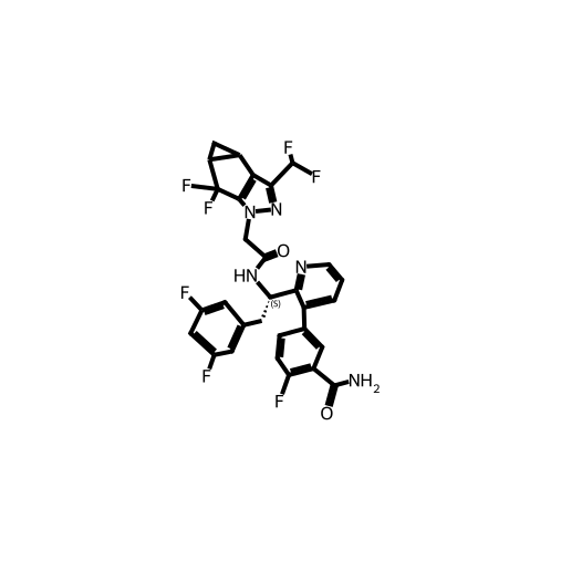 NC(=O)c1cc(-c2cccnc2[C@H](Cc2cc(F)cc(F)c2)NC(=O)Cn2nc(C(F)F)c3c2C(F)(F)C2CC32)ccc1F